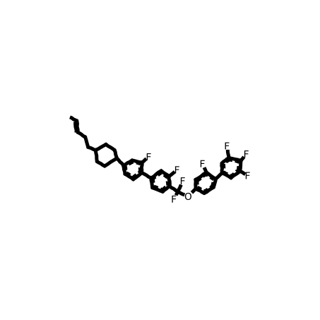 C/C=C/CCC1CCC(c2ccc(-c3ccc(C(F)(F)Oc4ccc(-c5cc(F)c(F)c(F)c5)c(F)c4)c(F)c3)c(F)c2)CC1